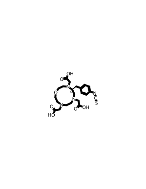 O=C(O)CN1CCOCCN(CC(=O)O)[C@@H](Cc2ccc(N=C=S)cc2)CN(CC(=O)O)CC1